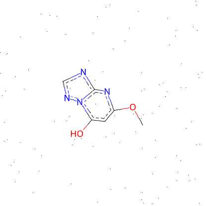 COc1cc(O)n2ncnc2n1